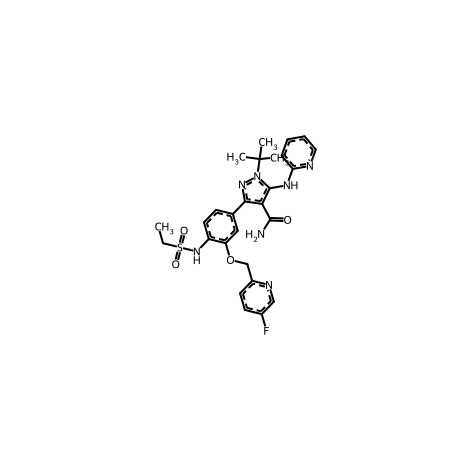 CCS(=O)(=O)Nc1ccc(-c2nn(C(C)(C)C)c(Nc3ccccn3)c2C(N)=O)cc1OCc1ccc(F)cn1